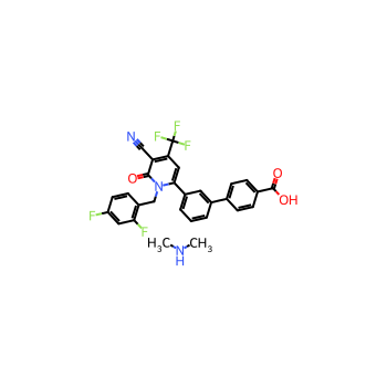 CNC.N#Cc1c(C(F)(F)F)cc(-c2cccc(-c3ccc(C(=O)O)cc3)c2)n(Cc2ccc(F)cc2F)c1=O